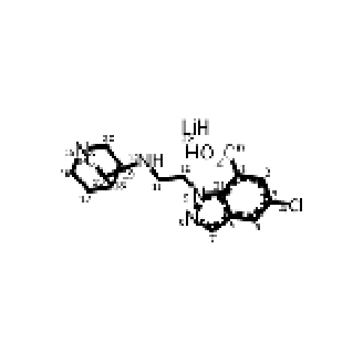 O=C(O)c1cc(Cl)cc2cnn(CCNC3CN4CCC3CC4)c12.[LiH]